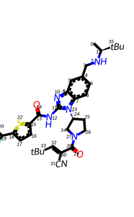 C[C@H](NCc1ccc2c(c1)nc(NC(=O)c1ccc(C(F)F)s1)n2[C@@H]1CCN(C(=O)C(C#N)=CC(C)(C)C)C1)C(C)(C)C